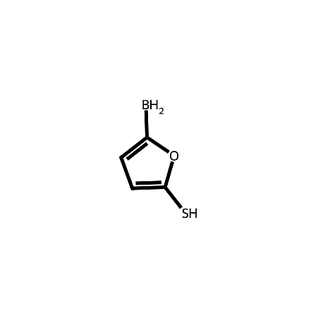 Bc1ccc(S)o1